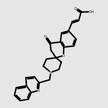 O=C(O)C=Cc1ccc2c(c1)C(=O)CC1(CCN(Cc3ccc4ccccc4n3)CC1)O2